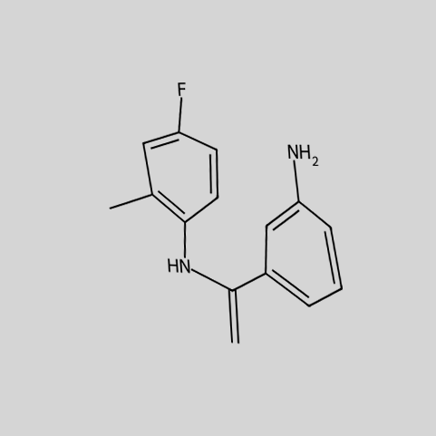 C=C(Nc1ccc(F)cc1C)c1cccc(N)c1